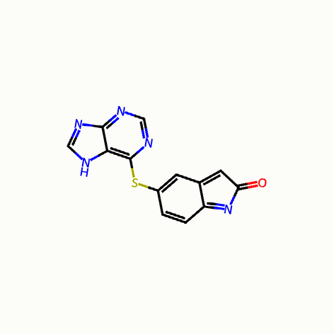 O=C1C=c2cc(Sc3ncnc4nc[nH]c34)ccc2=N1